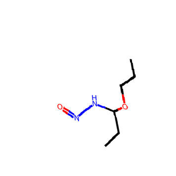 CCCOC(CC)NN=O